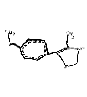 CNCc1ccc(C2=C(C)NCS2)cc1